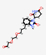 Cn1c(=O)n(C2CCC(=O)NC2=O)c2cccc(CCCOCCOCC=O)c21